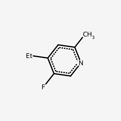 CCc1cc(C)ncc1F